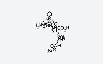 CC(C)(C)OC(=O)NCCCn1nnnc1SCC1=C(C(=O)O)N2C(=O)C(NC(=O)/C(=N\OC3C=CCCC3)c3nsc(N)n3)[C@H]2SC1